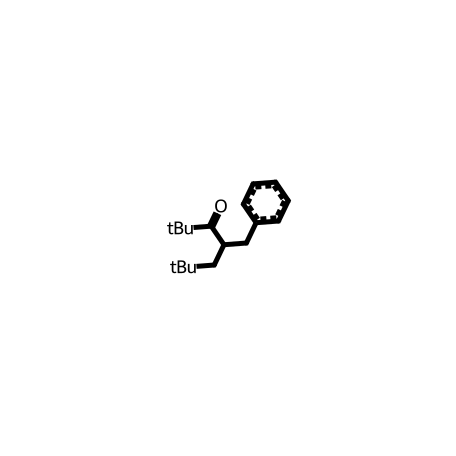 CC(C)(C)CC(Cc1ccccc1)C(=O)C(C)(C)C